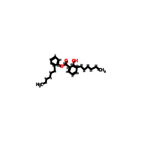 CCCCCCc1ccccc1OC(=O)c1cccc(CCCCCC)c1O